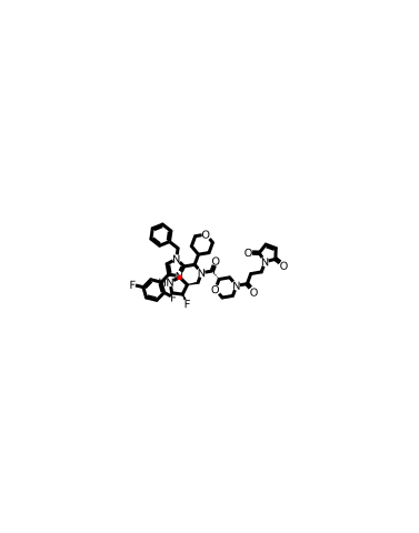 O=C(CCN1C(=O)C=CC1=O)N1CCO[C@H](C(=O)N(C[C@@H]2CNC[C@@H]2F)C(c2nc(-c3cc(F)ccc3F)cn2Cc2ccccc2)C2CCOCC2)C1